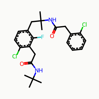 CC(C)(C)NC(=O)Cc1c(Cl)ccc(CC(C)(C)NC(=O)Cc2ccccc2Cl)c1F